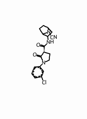 N#CN1C2CCC1C(NC(=O)[C@H]1CCN(c3cccc(Cl)c3)C1=O)C2